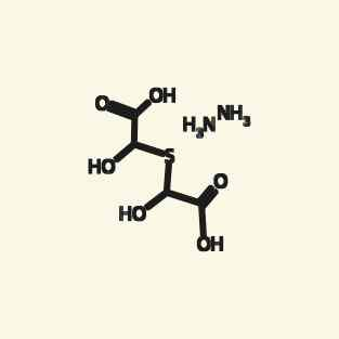 N.N.O=C(O)C(O)SC(O)C(=O)O